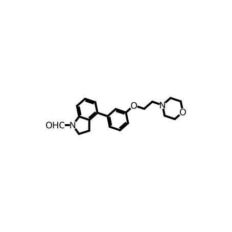 O=CN1CCc2c(-c3cccc(OCCN4CCOCC4)c3)cccc21